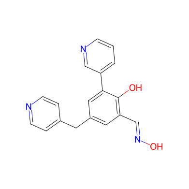 ON=Cc1cc(Cc2ccncc2)cc(-c2cccnc2)c1O